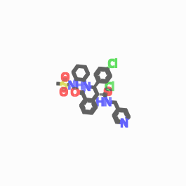 CS(=O)(=O)N[C@H]1CCCCC1N1C(=O)c2ccccc2[C@@H](C(=O)NCc2ccncc2)[C@@H]1c1ccc(Cl)cc1Cl